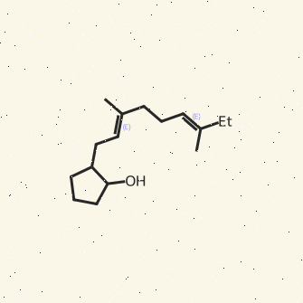 CC/C(C)=C/CC/C(C)=C/CC1CCCC1O